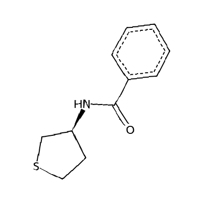 O=C(N[C@H]1CCSC1)c1ccccc1